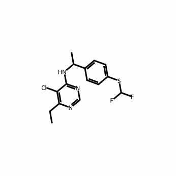 CCc1ncnc(NC(C)c2ccc(SC(F)F)cc2)c1Cl